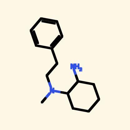 CN(CCc1ccccc1)C1CCCCC1N